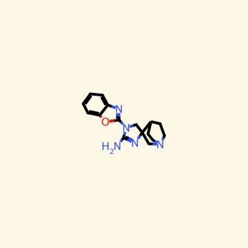 NC1=NC2(CN3CCC2CC3)CN1c1nc2ccccc2o1